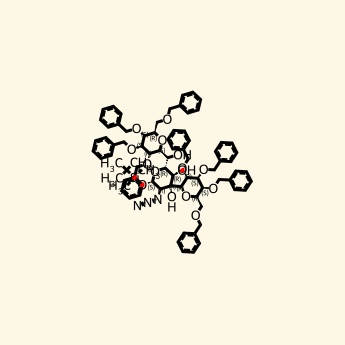 CC(C)(C)[Si](C)(C)O[C@@H]1O[C@H](C(O)[C@@H]2O[C@H](COCc3ccccc3)[C@H](OCc3ccccc3)[C@H](OCc3ccccc3)[C@H]2OCc2ccccc2)[C@@H](O)[C@@](O)([C@@H]2O[C@H](COCc3ccccc3)[C@H](OCc3ccccc3)[C@H](OCc3ccccc3)[C@H]2OCc2ccccc2)[C@H]1N=[N+]=[N-]